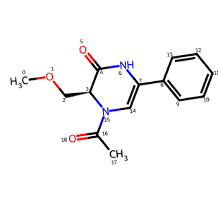 COC[C@H]1C(=O)NC(c2ccccc2)=CN1C(C)=O